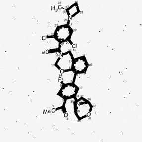 COC(=O)c1cc(F)c(-c2cccc3c2OCN(C(=O)c2c(Cl)cc(N4CC[C@H]4C)cc2Cl)C3)cc1N1C2CCC1COC2